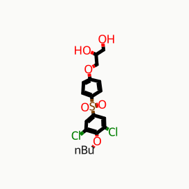 CCCCOc1c(Cl)cc(S(=O)(=O)c2ccc(OCC(O)CO)cc2)cc1Cl